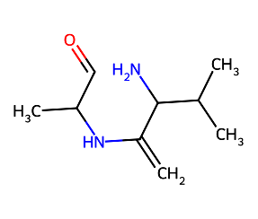 C=C(NC(C)C=O)C(N)C(C)C